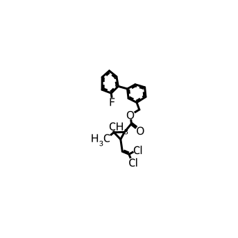 CC1(C)C(C=C(Cl)Cl)C1C(=O)OCc1cccc(-c2ccccc2F)c1